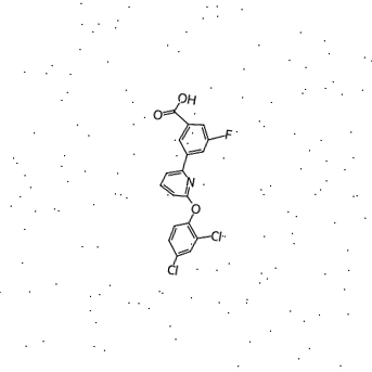 O=C(O)c1cc(F)cc(-c2cccc(Oc3ccc(Cl)cc3Cl)n2)c1